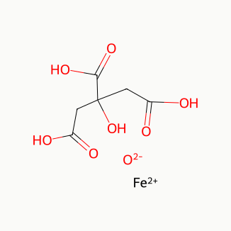 O=C(O)CC(O)(CC(=O)O)C(=O)O.[Fe+2].[O-2]